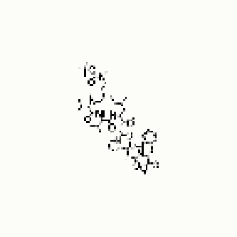 CC[C@H](C)CC([C@@H](CC(=O)N1CCC[C@H]1[C@H](OC)[C@@H](C)C(=O)N[C@@H](Cc1ccccc1)C(=O)OC)OC)N(C)C(=O)[C@@H](NC(=O)[C@H](C(C)C)N(C)CCCCN(C)C(=O)OC(C)(C)C)C(C)C